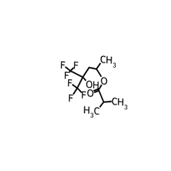 CC(CC(O)(C(F)(F)F)C(F)(F)F)OC(=O)C(C)C